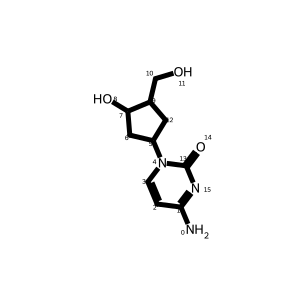 Nc1ccn(C2CC(O)C(CO)C2)c(=O)n1